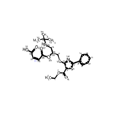 CCOC(=O)c1sc(-c2ccccc2)nc1OC[C@H](CNC(C)(C)C)OC(=O)/C=C\C(=O)O